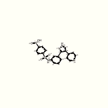 O=[N+](O)c1ccc(S(=O)(=O)Nc2cccc(-c3n[nH]cc3-c3ccncc3)c2)cc1